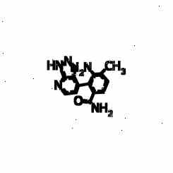 Cc1ccc(C(N)=O)c(-c2ccnc3[nH]ncc23)c1N